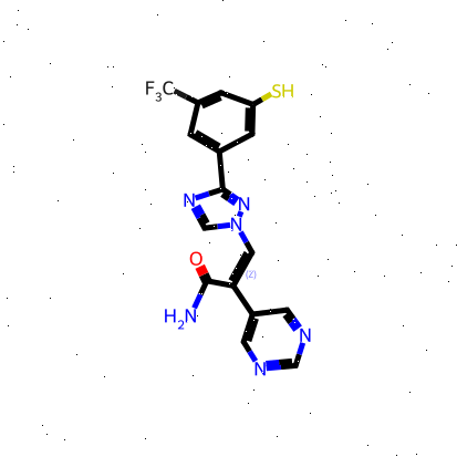 NC(=O)/C(=C\n1cnc(-c2cc(S)cc(C(F)(F)F)c2)n1)c1cncnc1